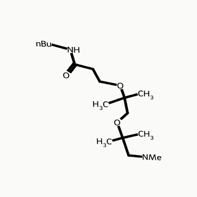 CCCCNC(=O)CCOC(C)(C)COC(C)(C)CNC